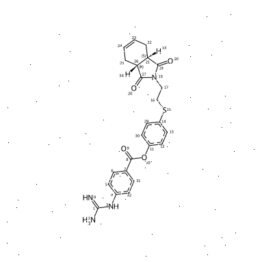 N=C(N)Nc1ccc(C(=O)Oc2ccc(SCCN3C(=O)[C@H]4CC=CC[C@H]4C3=O)cc2)cc1